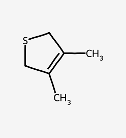 CC1=C(C)CSC1